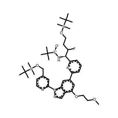 COCCOc1cc(-c2cccc([C@@H](N[S@+]([O-])C(C)(C)C)C(F)CCO[Si](C)(C)C(C)(C)C)n2)cc2c1cnn2-c1cc(CO[Si](C)(C)C(C)(C)C)ccn1